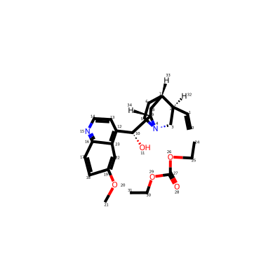 C=C[C@H]1C[N@]2CC[C@H]1C[C@H]2[C@H](O)c1ccnc2ccc(OC)cc12.CCOC(=O)OCC